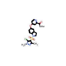 CNC(=O)c1cc(Oc2ccc3c(c2)CCN3S(=O)(=O)c2c(C)nn(C)c2Cl)ccn1